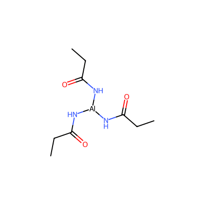 CCC(=O)[NH][Al]([NH]C(=O)CC)[NH]C(=O)CC